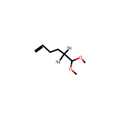 [2H]C([2H])(CCC=C)C(OC)OC